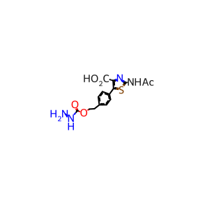 CC(=O)Nc1nc(C(=O)O)c(-c2ccc(CCOC(=O)NN)cc2)s1